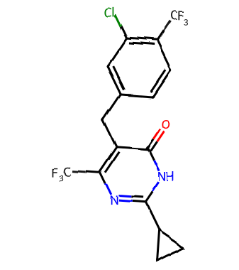 O=c1[nH]c(C2CC2)nc(C(F)(F)F)c1Cc1ccc(C(F)(F)F)c(Cl)c1